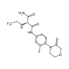 NC(=O)[C@H](NCC(F)(F)F)C(=O)Nc1ccc(N2CCOCC2=O)c(F)c1